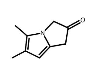 Cc1cc2n(c1C)CC(=O)C2